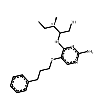 CC[C@@H](C)C(CO)Nc1nc(N)ncc1OCCCc1ccccc1